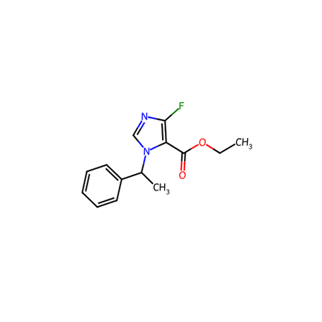 CCOC(=O)c1c(F)ncn1C(C)c1ccccc1